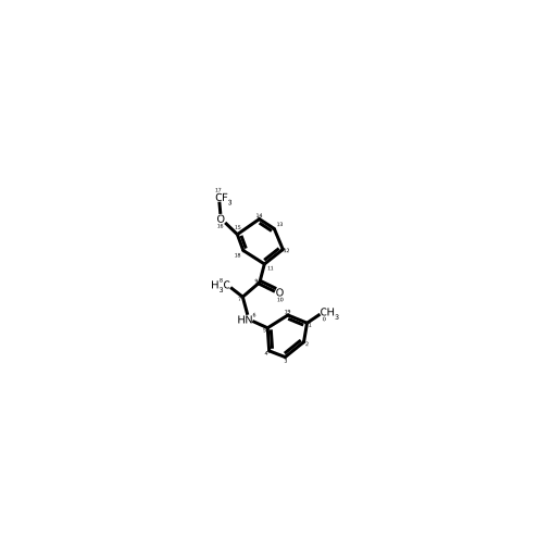 Cc1cccc(NC(C)C(=O)c2cccc(OC(F)(F)F)c2)c1